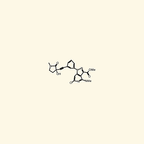 CNc1nc(Cl)cc2c1c(C(=O)OC)nn2-c1cccc(C#C[C@]2(O)CCN(C)C2=O)c1